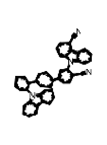 N#Cc1ccc(-c2ccc(-c3ccccc3-n3c4ccccc4c4ccccc43)cc2)cc1-n1c2ccccc2c2c(C#N)cccc21